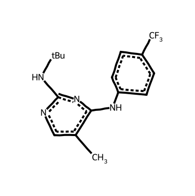 Cc1cnc(NC(C)(C)C)nc1Nc1ccc(C(F)(F)F)cc1